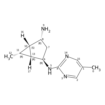 Cc1cnc(N[C@@H]2C[C@@H](N)[C@H]3[C@@H](C)[C@H]32)nc1